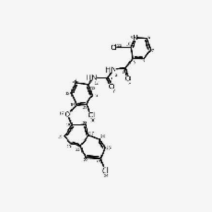 O=C(NC(=O)c1cccnc1Cl)Nc1ccc(Oc2ccc3cc(Cl)ccc3c2)c(Cl)c1